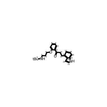 CC(C)(C)NCCCOc1ccccc1C(=O)CCc1cccc2[nH]ccc12